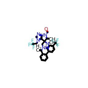 C=C(NCC(NC)(C(=C)NC=O)c1cncn1CC(F)(F)F)c1ccccc1-c1ccc(C(F)(F)F)cc1